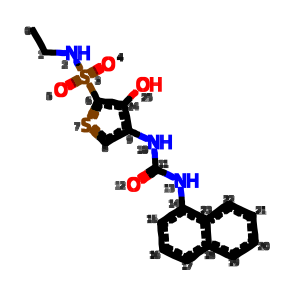 CCNS(=O)(=O)c1scc(NC(=O)Nc2cccc3ccccc23)c1O